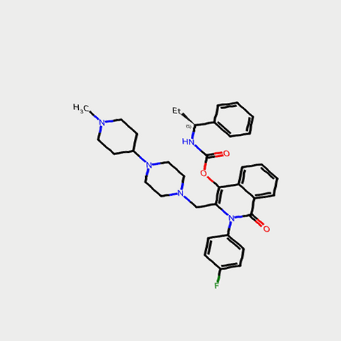 CC[C@H](NC(=O)Oc1c(CN2CCN(C3CCN(C)CC3)CC2)n(-c2ccc(F)cc2)c(=O)c2ccccc12)c1ccccc1